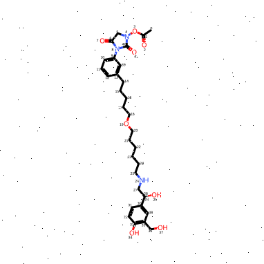 CC(=O)ON1CC(=O)N(c2cccc(CCCCCOCCCCCCNC[C@@H](O)c3ccc(O)c(CO)c3)c2)C1=O